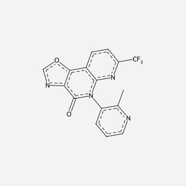 Cc1ncccc1-n1c(=O)c2ncoc2c2ccc(C(F)(F)F)nc21